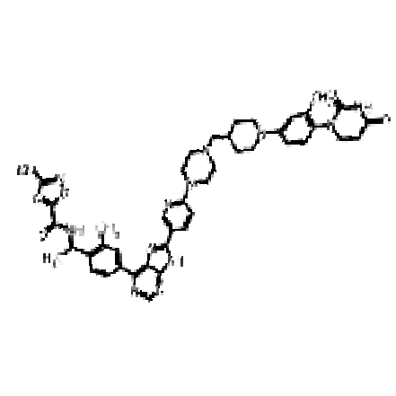 Cc1cc(-c2ncnc3[nH]c(-c4ccc(N5CCN(CC6CCN(c7ccc(N8CCC(=O)NC8=O)c(C)c7)CC6)CC5)nc4)nc23)ccc1C(C)NC(=O)c1nc(C(C)(C)C)no1